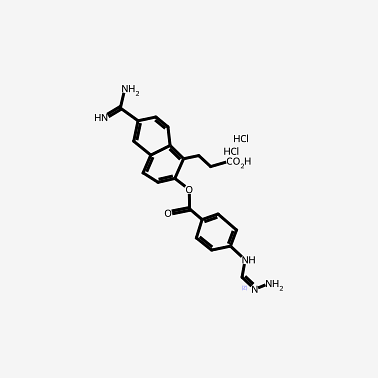 Cl.Cl.N=C(N)c1ccc2c(CCC(=O)O)c(OC(=O)c3ccc(N/C=N\N)cc3)ccc2c1